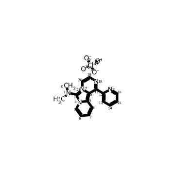 CN(C)c1n2ccccc2c2c(-c3ccccn3)ncc[n+]12.[O-][Cl+3]([O-])([O-])[O-]